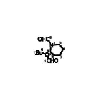 CC(C)(C)OC=O.O=CN1CCCCC1